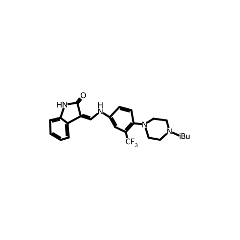 CCC(C)N1CCN(c2ccc(NC=C3C(=O)Nc4ccccc43)cc2C(F)(F)F)CC1